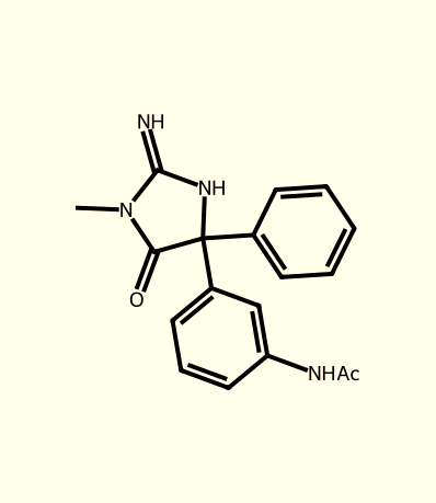 CC(=O)Nc1cccc(C2(c3ccccc3)NC(=N)N(C)C2=O)c1